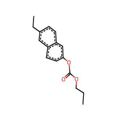 CCCOC(=O)Oc1ccc2cc(CC)ccc2c1